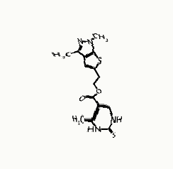 CC1=C(C(=O)OCCc2cc3c(C)nn(C)c3s2)CNC(=S)N1